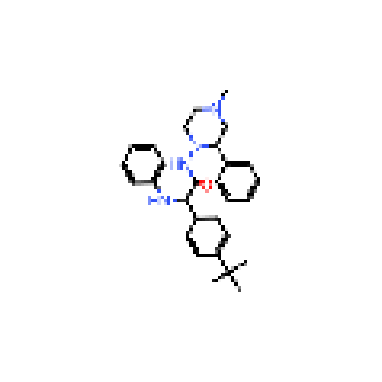 CN1CCN(NC(=O)[C@@H](Nc2ccccc2)c2ccc(C(C)(C)C)cc2)[C@H](c2ccccc2)C1